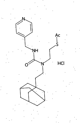 CC(=O)SCCN(CCC12CC3CC(CC(C3)C1)C2)C(=O)NCc1ccncc1.Cl